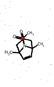 CC(=O)N1C2(C)C=CC1(C)CC(=O)C2